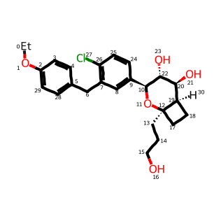 CCOc1ccc(Cc2cc([C@@H]3O[C@]4(CCCO)CC[C@@H]4[C@H](O)[C@H]3O)ccc2Cl)cc1